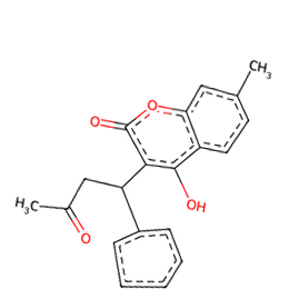 CC(=O)CC(c1ccccc1)c1c(O)c2ccc(C)cc2oc1=O